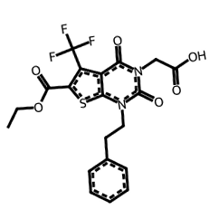 CCOC(=O)c1sc2c(c1C(F)(F)F)c(=O)n(CC(=O)O)c(=O)n2CCc1ccccc1